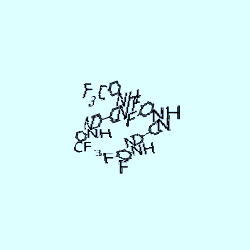 FC(F)(F)c1cccc(Nc2cc(-c3ccnc(Nc4cccc(C(F)(F)F)c4)c3)ccn2)c1.Fc1ccc(Nc2cc(-c3ccnc(Nc4ccc(F)c(F)c4)c3)ccn2)cc1F